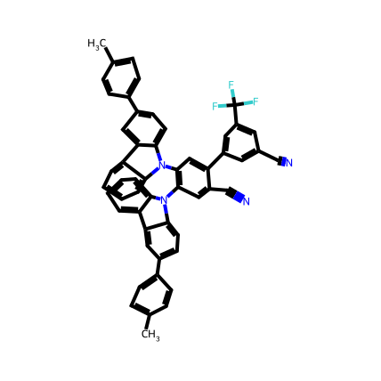 Cc1ccc(-c2ccc3c(c2)c2ccccc2n3-c2cc(C#N)c(-c3cc(C#N)cc(C(F)(F)F)c3)cc2-n2c3ccccc3c3cc(-c4ccc(C)cc4)ccc32)cc1